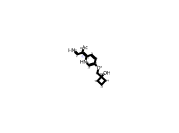 CC(=O)/C(C=N)=C1\C=CC(OCC2(O)CCC2)=CN1